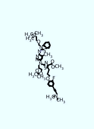 COC(=O)c1nc(N(CC2COC(C)(C)O2)c2cc(C)c(/N=c3\sc4ccccc4n3COCC[Si](C)(C)C)nn2)sc1CCCOc1ccc(C#CCN(C)C)cc1F